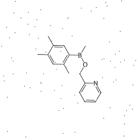 CB(OCc1ccccn1)c1cc(C)c(C)cc1C